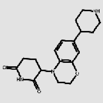 O=C1CCC(N2CCOc3cc(C4CCNCC4)ccc32)C(=O)N1